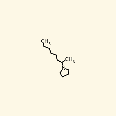 CCCCCCC(C)N1CCCC1